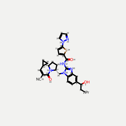 CC(C)CC(O)c1ccc2c(c1)nc(NC(=O)c1ccc(-n3cccn3)s1)n2C[C@H]1CCCN1C(=O)C(C#N)=CC1CC1